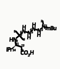 CCCCN(C)NNNNC(C)(C)N[C@H](CC(=O)O)C(C)C